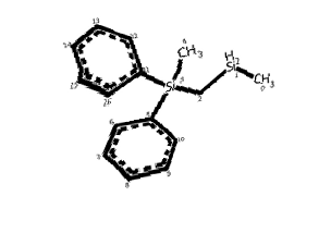 C[SiH2]C[Si](C)(c1ccccc1)c1ccccc1